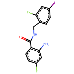 Nc1cc(F)ccc1C(=O)NCc1ccc(I)cc1F